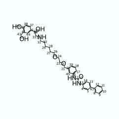 O=C(Nc1ccc(-c2ccccc2)cc1)Nc1cccc(COCCOCCCCCCNC[C@@H](O)c2ccc(O)c(CO)c2)c1